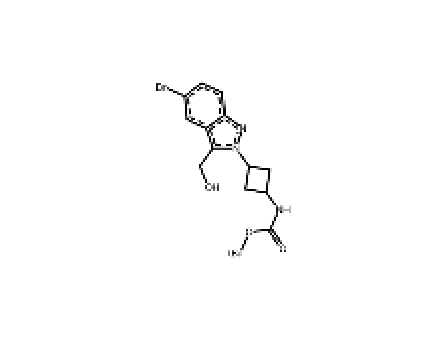 CC(C)(C)OC(=O)NC1CC(n2nc3ccc(Br)cc3c2CO)C1